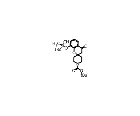 CC(C)(C)OC(=O)N1CCC2(CC1)CC(=O)c1cccc(O[Si](C)(C)C(C)(C)C)c1O2